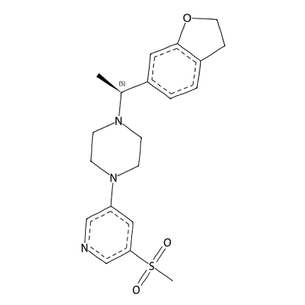 C[C@@H](c1ccc2c(c1)OCC2)N1CCN(c2cncc(S(C)(=O)=O)c2)CC1